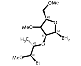 B[C@@H]1O[C@H](COC)C(OC)[C@@H]1O[C@@H](C)[C@@H](CC)OC